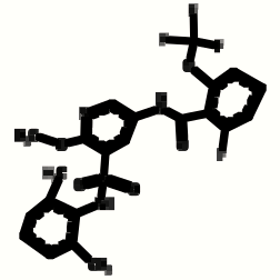 COc1ncc(NC(=O)c2c(F)cccc2OC(F)(F)F)cc1S(=O)(=O)Nc1c(C)cccc1C